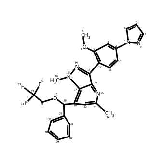 COc1cc(-n2cccn2)ccc1-c1nn(C)c2c(C(OCC(F)(F)F)c3ccccc3)cc(C)nc12